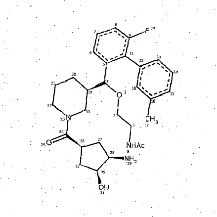 CC(=O)NCCOC(c1cccc(F)c1-c1cccc(C)c1)[C@@H]1CCCN(C(=O)[C@H]2C[C@@H](N)[C@@H](O)C2)C1